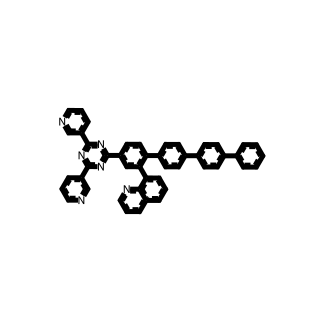 c1ccc(-c2ccc(-c3ccc(-c4ccc(-c5nc(-c6cccnc6)nc(-c6cccnc6)n5)cc4-c4cccc5cccnc45)cc3)cc2)cc1